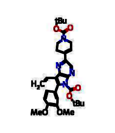 C=Cc1c(-c2ccc(OC)c(OC)c2)n(C(=O)OC(C)(C)C)c2ncc(C3=CCN(C(=O)OC(C)(C)C)CC3)nc12